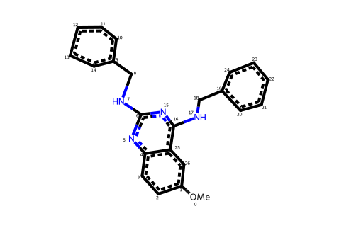 COc1ccc2nc(NCc3ccccc3)nc(NCc3ccccc3)c2c1